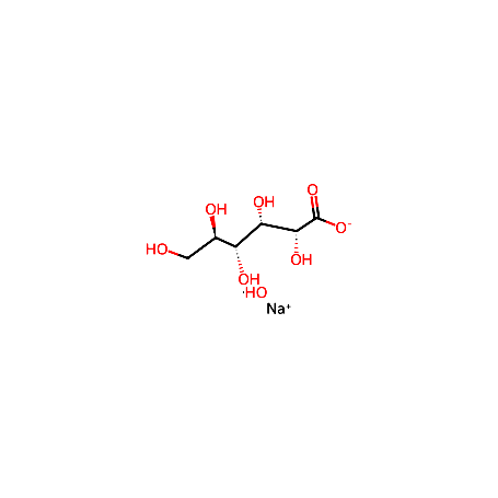 O=C([O-])[C@H](O)[C@@H](O)[C@H](O)[C@H](O)CO.[Na+].[OH]